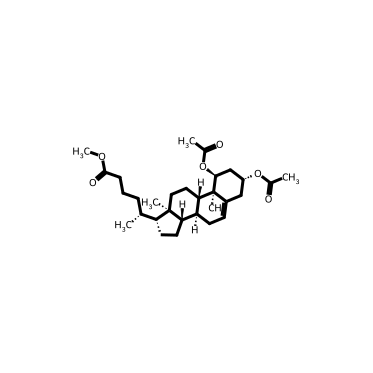 COC(=O)CCC[C@@H](C)[C@H]1CC[C@H]2[C@@H]3CC=C4C[C@@H](OC(C)=O)C[C@H](OC(C)=O)[C@]4(C)[C@H]3CC[C@]12C